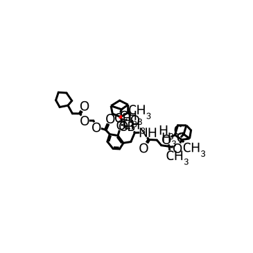 COc1c(CC(NC(=O)CCC2(C)OC3CC4CC(C4(C)C)C3(C)O2)B2OC3CC4CC(C4(C)C)C3(C)O2)cccc1C(=O)OCOC(=O)CC1CCCCC1